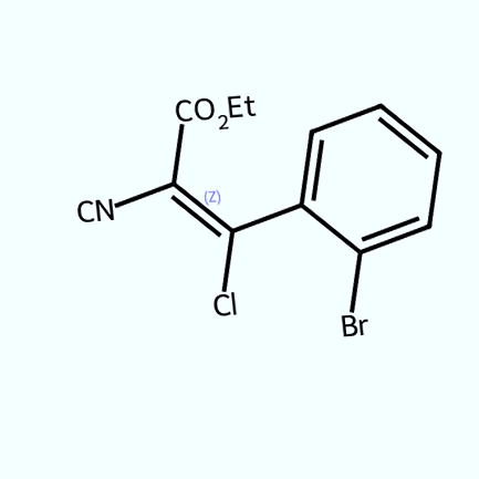 [C-]#[N+]/C(C(=O)OCC)=C(\Cl)c1ccccc1Br